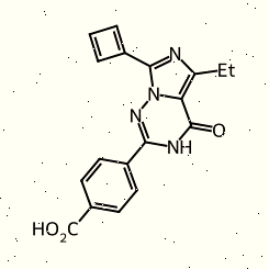 CCc1nc(C2=CC=C2)n2nc(-c3ccc(C(=O)O)cc3)[nH]c(=O)c12